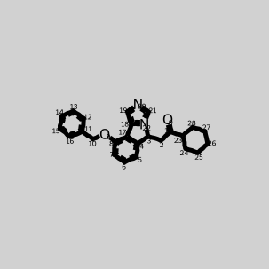 O=C(CC1c2cccc(OCc3ccccc3)c2-c2cncn21)C1CCCCC1